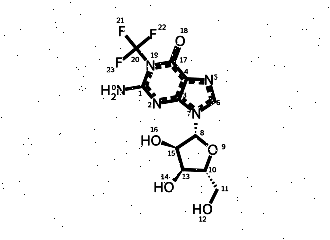 Nc1nc2c(ncn2[C@@H]2O[C@H](CO)[C@@H](O)[C@H]2O)c(=O)n1C(F)(F)F